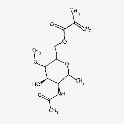 C=C(C)C(=O)OCC1OC(C)[C@@H](NC(C)=O)[C@@H](O)C1OC